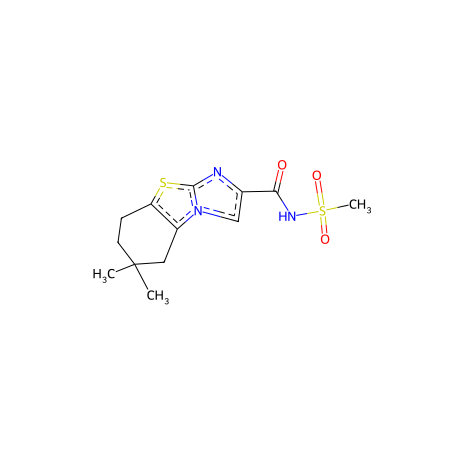 CC1(C)CCc2sc3nc(C(=O)NS(C)(=O)=O)cn3c2C1